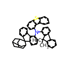 CC1(C)c2ccccc2-c2cccc(N(c3cccc4c3-c3ccccc3C43C4CC5CC(C4)CC3C5)c3cccc4sc5ccccc5c34)c21